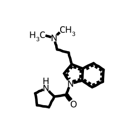 CN(C)CCc1cn(C(=O)C2CCCN2)c2ccccc12